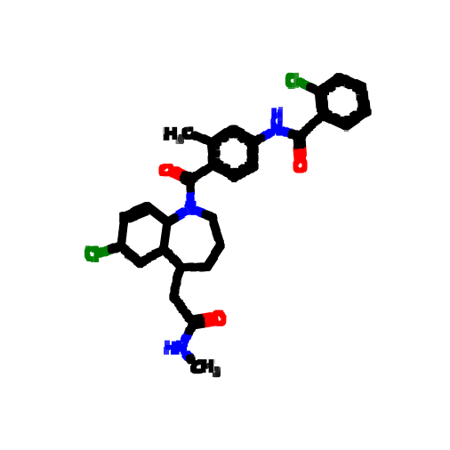 CNC(=O)CC1CCCN(C(=O)c2ccc(NC(=O)c3ccccc3Cl)cc2C)C2C=CC(Cl)CC12